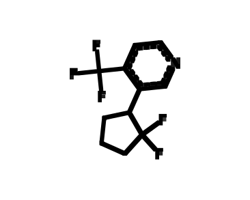 FC(F)(F)c1ccncc1C1CCCC1(F)F